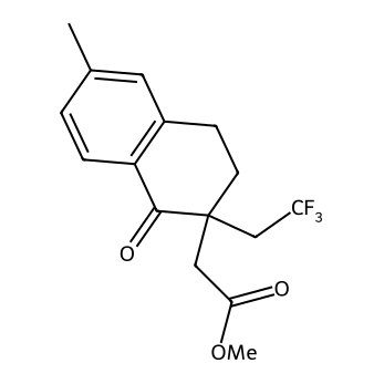 COC(=O)CC1(CC(F)(F)F)CCc2cc(C)ccc2C1=O